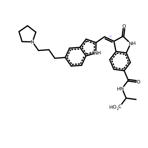 CC(NC(=O)c1ccc2c(c1)NC(=O)/C2=C/c1cc2cc(CCCN3CCCC3)ccc2[nH]1)C(=O)O